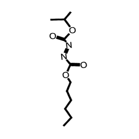 CCCCCCOC(=O)/N=N/C(=O)OC(C)C